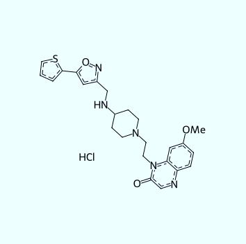 COc1ccc2ncc(=O)n(CCN3CCC(NCc4cc(-c5cccs5)on4)CC3)c2c1.Cl